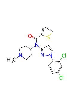 CN1CCC(N(C(=O)c2cccs2)c2ccn(-c3ccc(Cl)cc3Cl)n2)CC1